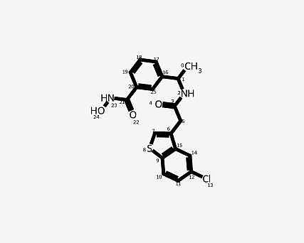 CC(NC(=O)Cc1csc2ccc(Cl)cc12)c1cccc(C(=O)NO)c1